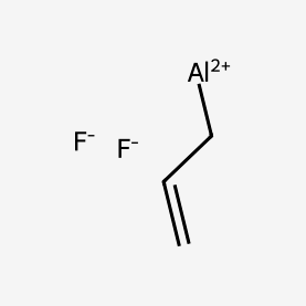 C=C[CH2][Al+2].[F-].[F-]